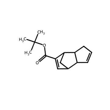 CC(C)(C)OC(=O)C1=CC2CC1C1CC=CC21